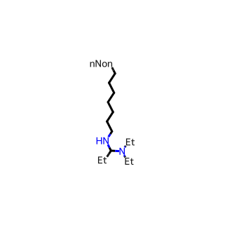 CCCCCCCCCCCCCCCCNC(CC)N(CC)CC